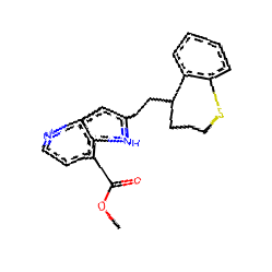 COC(=O)c1ccnc2cc(CC3CCSc4ccccc43)[nH]c12